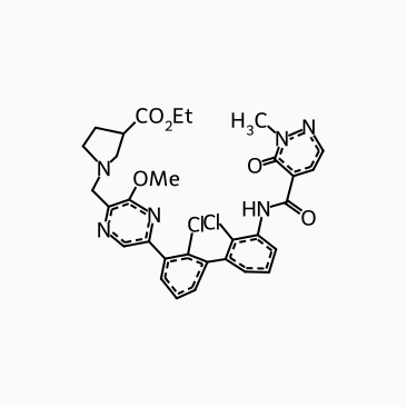 CCOC(=O)C1CCN(Cc2ncc(-c3cccc(-c4cccc(NC(=O)c5ccnn(C)c5=O)c4Cl)c3Cl)nc2OC)C1